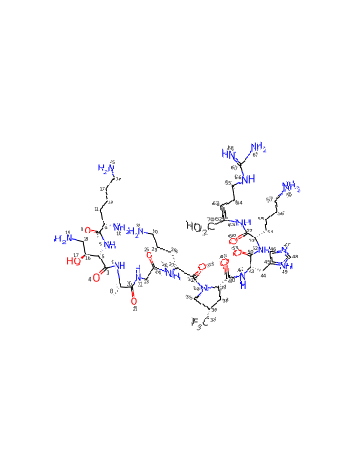 C[C@H](NC(=O)[C@@H](NC(=O)[C@@H](N)CCCCN)[C@@H](O)CN)C(=O)NCC(=O)N[C@H](CCCN)C(=O)N1C[C@@H](C(F)(F)F)C[C@H]1C(=O)N[C@@H](Cc1cnc[nH]1)C(=O)N[C@@H](CCCCN)C(=O)N/C(=C\CCNC(=N)N)C(=O)O